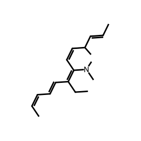 C\C=C/C=C/C(CC)=C(\C=C/C(C)/C=C/C)N(C)C